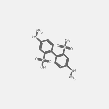 NNc1ccc(-c2ccc(NN)cc2S(=O)(=O)O)c(S(=O)(=O)O)c1